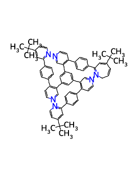 CC(C)(C)C1=CC(c2ccc(-c3ccncc3-c3cc(-c4cnccc4-c4ccc(-c5cc(C(C)(C)C)ccn5)cc4)cc(-c4cnccc4-c4ccc(-c5cc(C(C)(C)C)ccn5)cc4)c3)cc2)=NCC=C1